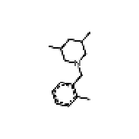 Cc1ccccc1CN1CC(C)CC(C)C1